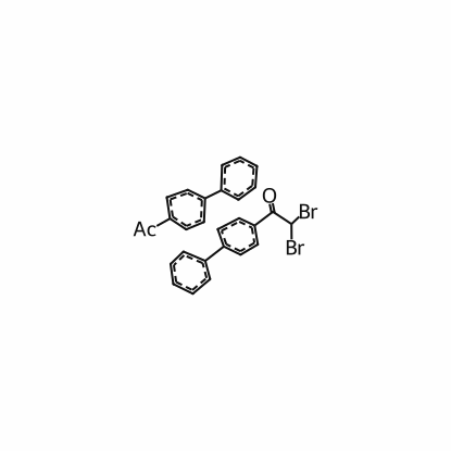 CC(=O)c1ccc(-c2ccccc2)cc1.O=C(c1ccc(-c2ccccc2)cc1)C(Br)Br